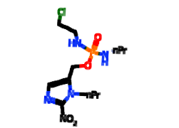 CCCNP(=O)(NCCCl)OCc1cnc([N+](=O)[O-])n1CCC